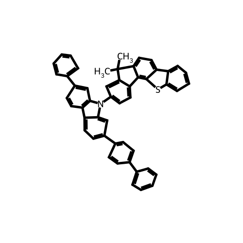 CC1(C)c2cc(-n3c4cc(-c5ccccc5)ccc4c4ccc(-c5ccc(-c6ccccc6)cc5)cc43)ccc2-c2c1ccc1c2sc2ccccc21